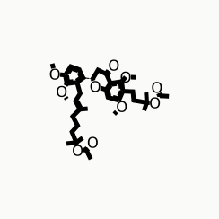 COc1cc2c(c(OC)c1CCC(C)(C)OC(C)=O)C(=O)C[C@@H](c1ccc(OC)c(OC)c1C/C=C(\C)CCCC(C)(C)OC(C)=O)O2